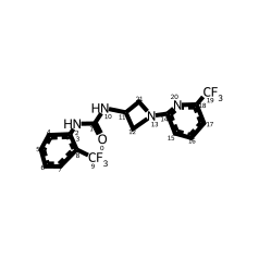 O=C(Nc1ccccc1C(F)(F)F)NC1CN(c2cccc(C(F)(F)F)n2)C1